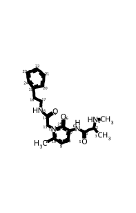 CNC(C)C(=O)Nc1ccc(C)n(CC(=O)NCCc2ccccc2)c1=O